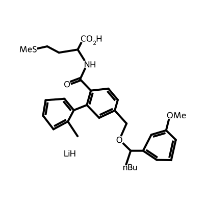 CCCCC(OCc1ccc(C(=O)NC(CCSC)C(=O)O)c(-c2ccccc2C)c1)c1cccc(OC)c1.[LiH]